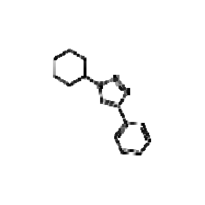 c1ccc(-c2cn([C]3CCCCC3)nn2)cc1